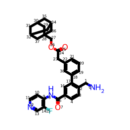 NCc1ccc(C(=O)Nc2ccncc2F)cc1-c1cccc(CC(=O)OCC23CC4CC(CC(C4)C2)C3)c1